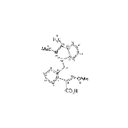 CON=C(C(=O)O)c1ccccc1COc1ccccc1C(C)=NOC